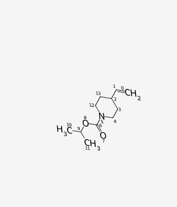 C=CC1CCN(C(=O)OC(C)C)CC1